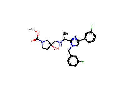 CC(C)(C)OC(=O)N1CCC(O)(CN[C@@H](c2nc(-c3cccc(F)c3)cn2Cc2cccc(F)c2)C(C)(C)C)C1